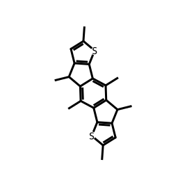 Cc1cc2c(s1)-c1c(C)c3c(c(C)c1C2C)-c1sc(C)cc1C3C